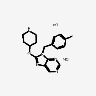 Cl.Cl.Fc1ccc(Cn2c(NC3CCNCC3)nc3cncnc32)cc1